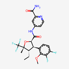 CC[C@H]1[C@H](c2ccc(F)c(F)c2OC)[C@H](C(=O)Nc2ccnc(C(N)=O)c2)O[C@@]1(C)C(F)(F)F